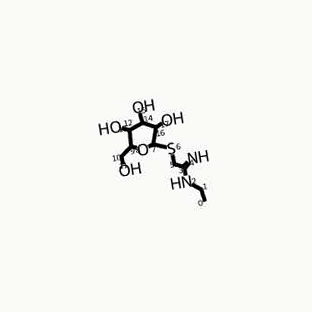 CCNC(=N)CSC1OC(CO)C(O)C(O)C1O